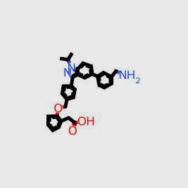 CC(C)n1nc(-c2ccc(COc3ccccc3CC(=O)O)cc2)c2cc(-c3cccc(CN)c3)ccc21